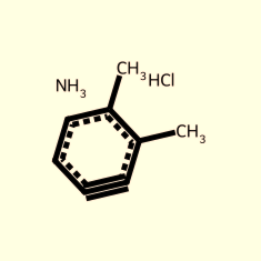 Cc1c#cccc1C.Cl.N